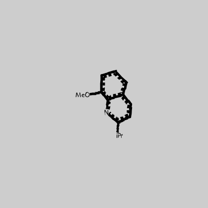 COc1cccc2ccc(C(C)C)nc12